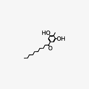 CCCCCCCCCC(=O)c1cc(O)c(C)c(O)c1